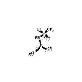 CCCP(CCC)NS(=O)(=O)C(F)(F)F